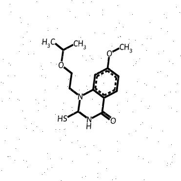 COc1ccc2c(c1)N(CCOC(C)C)C(S)NC2=O